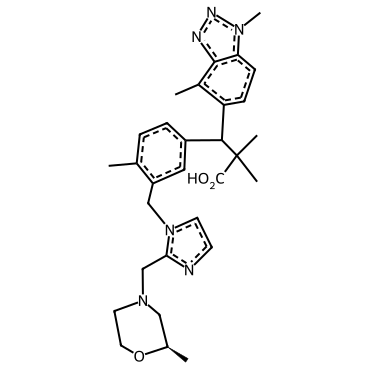 Cc1ccc(C(c2ccc3c(nnn3C)c2C)C(C)(C)C(=O)O)cc1Cn1ccnc1CN1CCO[C@H](C)C1